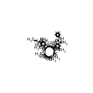 CCCSC[C@]1(O)[C@H](C)O[C@@H](O[C@H]2[C@H](C)[C@@H](O[C@@H]3O[C@H](C)C[C@H](N(C)C(=O)Nc4ccccc4)[C@H]3O)[C@](C)(O)C[C@@H](C)CN[C@H](C)[C@@H](O)[C@](C)(O)[C@@H](CC)OC(=O)[C@@H]2C)C[C@@]1(C)OC